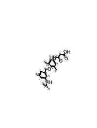 Cc1cc(COc2c(C)cc(NC(=O)CC(=O)O)cc2C)cc(NC(C)C)c1